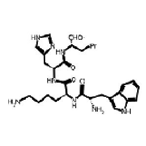 CC(C)C[C@@H]([C]=O)NC(=O)[C@H](Cc1c[nH]cn1)NC(=O)[C@H](CCCCN)NC(=O)[C@@H](N)Cc1c[nH]c2ccccc12